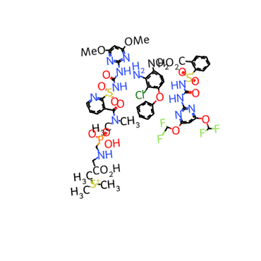 COc1cc(OC)nc(NC(=O)NS(=O)(=O)c2ncccc2C(=O)N(C)C)n1.C[S+](C)C.Nc1c([N+](=O)[O-])ccc(Oc2ccccc2)c1Cl.O=C(Nc1nc(OC(F)F)cc(OC(F)F)n1)NS(=O)(=O)c1ccccc1C(=O)O.O=C(O)CNCP(=O)([O-])O